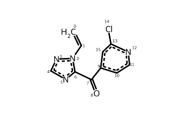 C=Cn1ncnc1C(=O)c1ccnc(Cl)c1